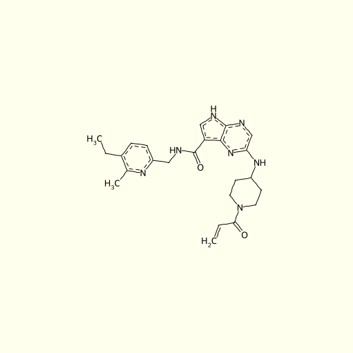 C=CC(=O)N1CCC(Nc2cnc3[nH]cc(C(=O)NCc4ccc(CC)c(C)n4)c3n2)CC1